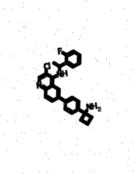 CC(Nc1c(Cl)cnc2ccc(-c3ccc(C4(N)CCC4)cc3)cc12)c1ccccc1F